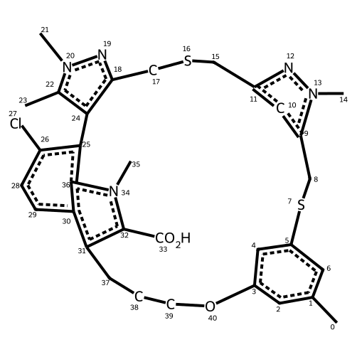 Cc1cc2cc(c1)SCc1cc(nn1C)CSCc1nn(C)c(C)c1-c1c(Cl)ccc3c(c(C(=O)O)n(C)c13)CCCO2